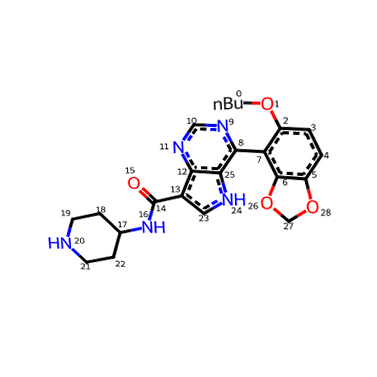 CCCCOc1ccc2c(c1-c1ncnc3c(C(=O)NC4CCNCC4)c[nH]c13)OCO2